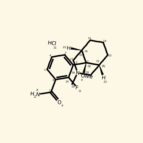 CO[C@]1(c2cccc(C(N)=O)c2F)[C@@H]2CCC[C@H]1CN(C)C2.Cl